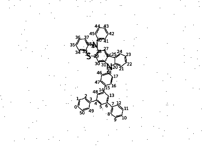 c1ccc(-c2cc(-c3ccccc3)cc(-c3ccc(-n4c5ccccc5c5cc6c(cc54)Sc4ccccc4N6c4ccccc4)cc3)c2)cc1